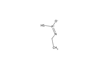 CCN=[P+]([O-])S